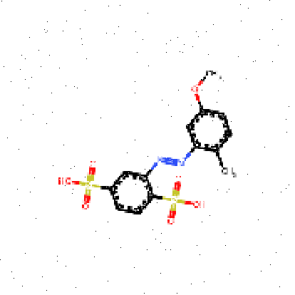 COc1[c]cc(C)c(N=Nc2cc(S(=O)(=O)O)ccc2S(=O)(=O)O)c1